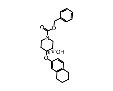 O=C(OCc1ccccc1)N1CC[C@H](Oc2ccc3c(c2)CCCC3)[C@@H](O)C1